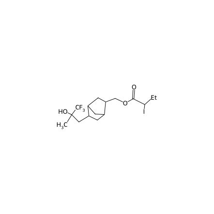 CCC(I)C(=O)OCC1CC2CC1CC2CC(C)(O)C(F)(F)F